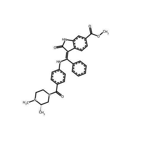 COC(=O)c1ccc2c(c1)NC(=O)/C2=C(\Nc1ccc(C(=O)N2CCN(C)[C@@H](C)C2)cc1)c1ccccc1